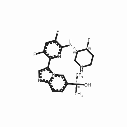 C[C@](O)(c1ccc2ncc(-c3nc(N[C@H]4CNCC[C@@H]4F)c(F)cc3F)n2c1)C(F)(F)F